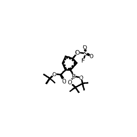 CC(C)(C)OC(=O)c1ccc(OS(=O)(=O)F)cc1B1OC(C)(C)C(C)(C)O1